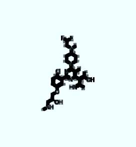 CNC[C@@H](O)COc1ccc(Cl)c(-c2nc(/C(C(C)=N)=C(\C)O)c(C)c(N3CCC(N(C)CC(F)F)CC3)n2)c1